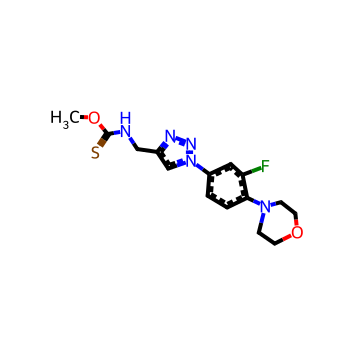 COC(=S)NCc1cn(-c2ccc(N3CCOCC3)c(F)c2)nn1